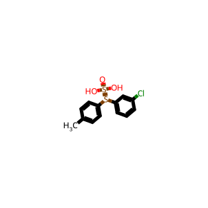 Cc1ccc(S(c2cccc(Cl)c2)=S(=O)(O)O)cc1